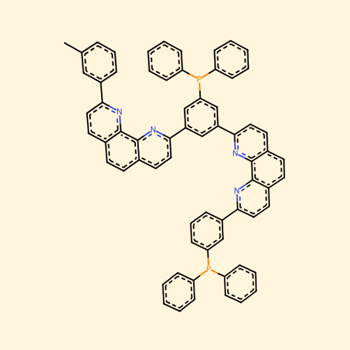 Cc1cccc(-c2ccc3ccc4ccc(-c5cc(-c6ccc7ccc8ccc(-c9cccc(P(c%10ccccc%10)c%10ccccc%10)c9)nc8c7n6)cc(P(c6ccccc6)c6ccccc6)c5)nc4c3n2)c1